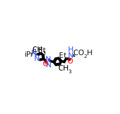 CCc1cc(-c2nc(-c3cc(C)c(CCC(=O)NCC(=O)O)c(CC)c3)no2)cnc1N(C)C(C)C